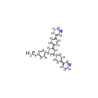 C=Cc1ccc(C2C=C(C3C=CC(c4cccnc4)=CC3)C=C(c3ccc(C4=CN=CCC4)cc3)C2)cc1